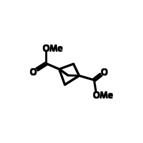 COC(=O)C12CC(C(=O)OC)(C1)C2